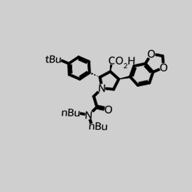 CCCCN(CCCC)C(=O)CN1C[C@H](c2ccc3c(c2)OCO3)[C@H](C(=O)O)[C@H]1c1ccc(C(C)(C)C)cc1